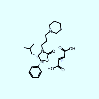 CC(C)C[C@H]1[C@@H](c2ccccc2)OC(=O)N1CCCN1CCCCC1.O=C(O)/C=C/C(=O)O